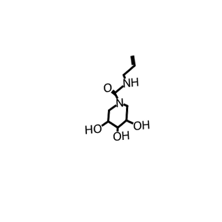 C=CCNC(=O)N1CC(O)C(O)C(O)C1